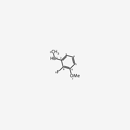 CBc1cccc(OC)c1F